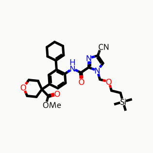 COC(=O)C1(c2ccc(NC(=O)c3nc(C#N)cn3COCC[Si](C)(C)C)c(C3=CCCCC3)c2)CCOCC1